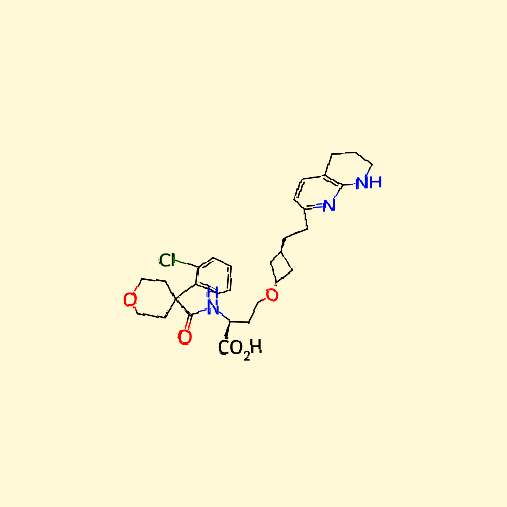 O=C(O)[C@H](CCO[C@H]1C[C@H](CCc2ccc3c(n2)NCCC3)C1)NC(=O)C1(c2ccccc2Cl)CCOCC1